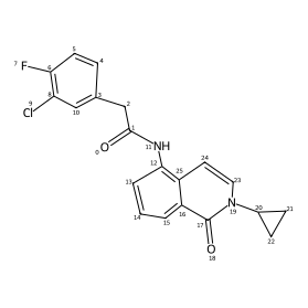 O=C(Cc1ccc(F)c(Cl)c1)Nc1cccc2c(=O)n(C3CC3)ccc12